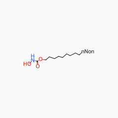 CCCCCCCCCCCCCCCCCCOC(=O)NO